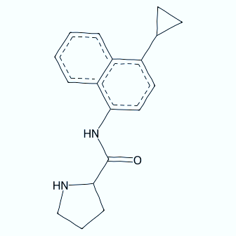 O=C(Nc1ccc(C2CC2)c2ccccc12)C1CCCN1